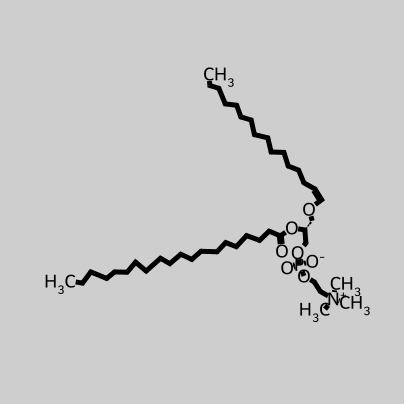 CCCCCCCCCCCCCC/C=C\OC[C@H](COP(=O)([O-])OCC[N+](C)(C)C)OC(=O)CCCCCCCCCCCCCCCCCCC